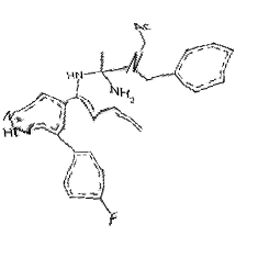 C=C/C=C(\NC(C)(N)N(Cc1ccccc1)C(C)=O)c1cn[nH]c1-c1ccc(F)cc1